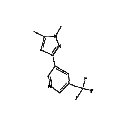 Cc1cc(-c2cncc(C(F)(F)F)c2)nn1C